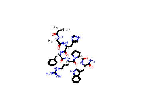 CCCC[C@H](NC(C)=O)C(=O)N[C@@H](C)C(=O)N[C@@H](Cc1c[nH]cn1)C(=O)N[C@H](Cc1ccccc1)C(=O)N[C@@H](CCCNC(=N)N)C(=O)N1CCC[C@@H]1C(=O)N[C@H](Cc1c[nH]c2ccccc12)C(N)=O